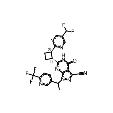 CC(c1ccc(C(F)(F)F)nc1)n1nc(C#N)c2c(=O)[nH]c([C@@H]3CC[C@H]3c3ncc(C(F)F)cn3)nc21